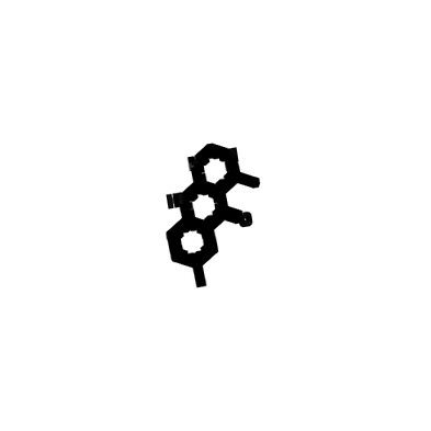 Cc1ccc2[nH]c3ncnc(C)c3c(=O)c2c1